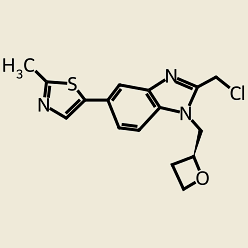 Cc1ncc(-c2ccc3c(c2)nc(CCl)n3C[C@@H]2CCO2)s1